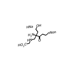 CCCCCCCCCCCC(=O)C(N)(CCO)CNCC(=O)O.[NaH]